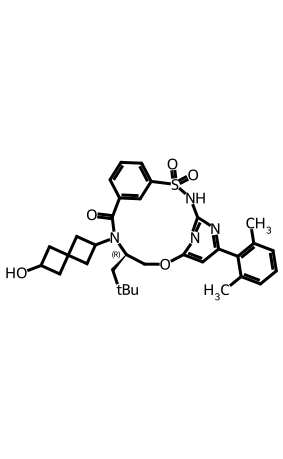 Cc1cccc(C)c1-c1cc2nc(n1)NS(=O)(=O)c1cccc(c1)C(=O)N(C1CC3(CC(O)C3)C1)[C@H](CC(C)(C)C)CO2